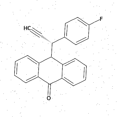 C#C[C@H](c1ccc(F)cc1)C1c2ccccc2C(=O)c2ccccc21